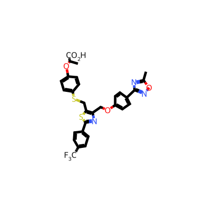 Cc1nc(-c2ccc(OCc3nc(-c4ccc(C(F)(F)F)cc4)sc3CSc3ccc(OC(C)C(=O)O)cc3)cc2)no1